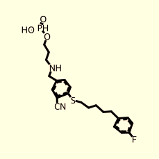 N#Cc1cc(CNCCCO[PH](=O)O)ccc1SCCCCCc1ccc(F)cc1